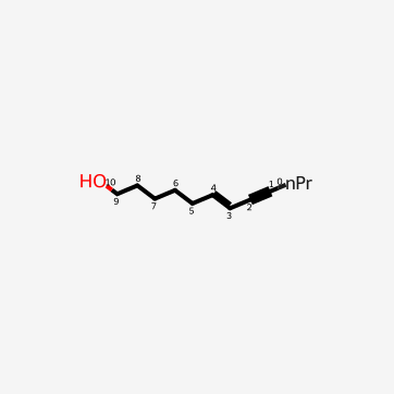 CCCC#C/C=C/CCCCCO